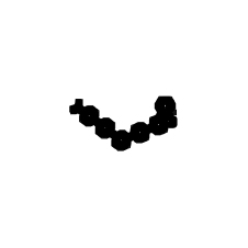 C=C(C)c1ccc(-c2ccc(-c3cccc(-c4ccc(-c5ccc6sc7ccccc7c6c5)cc4)c3)cc2)cc1